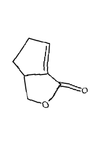 O=C1OCC2CCC=C12